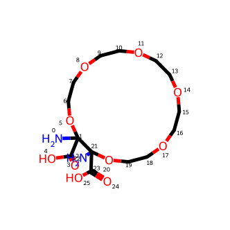 NC1(C(=O)O)OCCOCCOCCOCCOCCOC1(N)C(=O)O